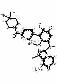 Cc1nc([C@@H](C)c2cc(Cl)c(F)c(-c3ccc(C(=O)N4CCC(F)(F)CC4)nc3)c2OC(C)C)n2ccnc(N)c12